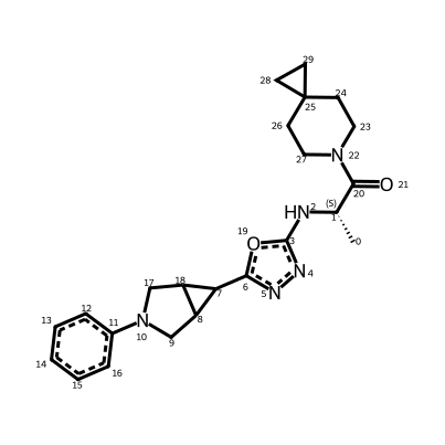 C[C@H](Nc1nnc(C2C3CN(c4ccccc4)CC32)o1)C(=O)N1CCC2(CC1)CC2